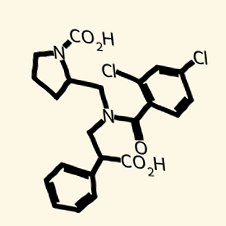 O=C(O)C(CN(CC1CCCN1C(=O)O)C(=O)c1ccc(Cl)cc1Cl)c1ccccc1